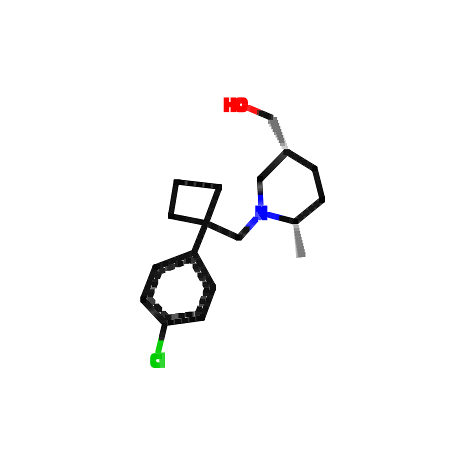 C[C@H]1CC[C@@H](CO)CN1CC1(c2ccc(Cl)cc2)CCC1